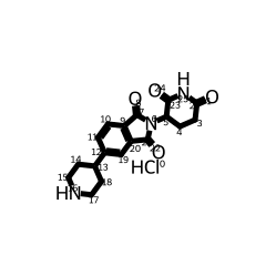 Cl.O=C1CCC(N2C(=O)c3ccc(C4CCNCC4)cc3C2=O)C(=O)N1